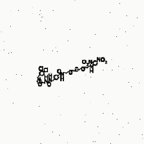 O=C(NCc1ccc(C(=O)NCCCOCCOCCOCCCNc2ccc([N+](=O)[O-])cc2[N+](=O)[O-])cc1)NCC1CN(Cc2ccc(Cl)c(Cl)c2)CCO1